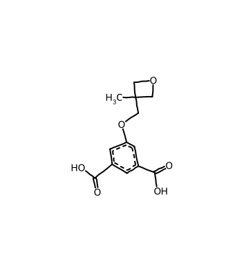 CC1(COc2cc(C(=O)O)cc(C(=O)O)c2)COC1